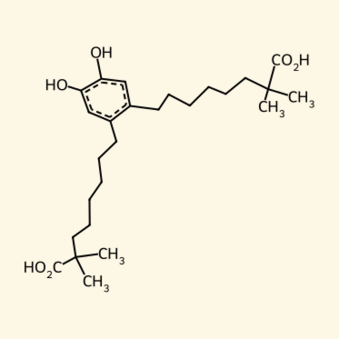 CC(C)(CCCCCCc1cc(O)c(O)cc1CCCCCCC(C)(C)C(=O)O)C(=O)O